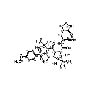 CCN([C@H](C(=O)N1C[C@H]2[C@@H]([C@H]1C(=O)N[C@H](C#N)C[C@@H]1CCNC1=O)C2(C)C)C(C)(C)C)S(=O)(=O)c1ccc(OC)cc1